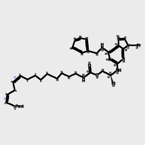 CCCCC/C=C\C/C=C\CCCCCCCCNC(=O)OC[C@@H](CC)Nc1nc(NCc2ccccc2)c2ncn(C(C)C)c2n1